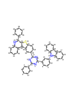 c1ccc(-c2nc(-c3cccc(-n4c5ccccc5c5ccccc54)c3)nc(-c3ccc4sc5c(-c6ccccc6)nc6ccccc6c5c4c3)n2)cc1